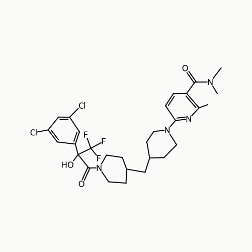 Cc1nc(N2CCC(CC3CCN(C(=O)C(O)(c4cc(Cl)cc(Cl)c4)C(F)(F)F)CC3)CC2)ccc1C(=O)N(C)C